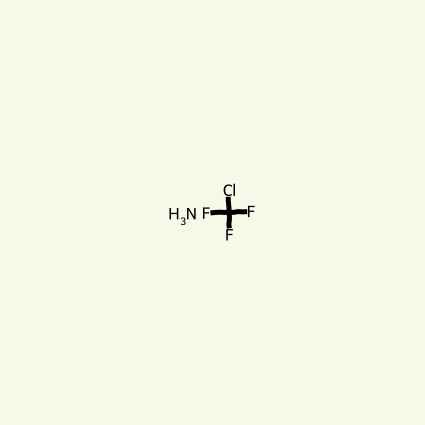 FC(F)(F)Cl.N